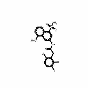 COc1nccc2c(S(N)(=O)=O)cc(NC(=O)Cc3c(Cl)ccc(F)c3F)cc12